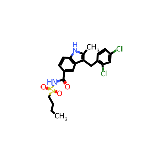 CCCCS(=O)(=O)NC(=O)c1ccc2[nH]c(C)c(Cc3ccc(Cl)cc3Cl)c2c1